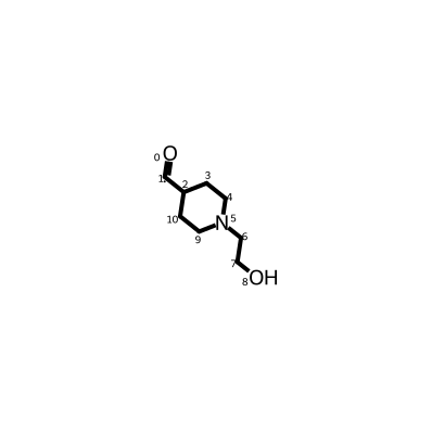 O=[C]C1CCN(CCO)CC1